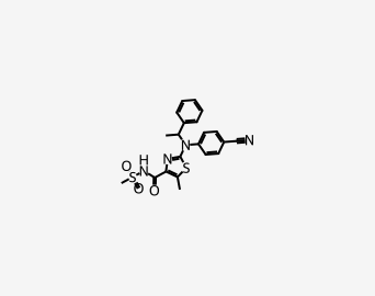 Cc1sc(N(c2ccc(C#N)cc2)C(C)c2ccccc2)nc1C(=O)NS(C)(=O)=O